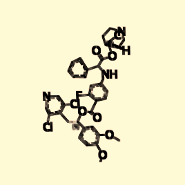 COc1ccc([C@H](Cc2c(Cl)cncc2Cl)OC(=O)c2ccc(NC(C(=O)O[C@H]3CN4CCC3CC4)c3ccccc3)cc2F)cc1OC